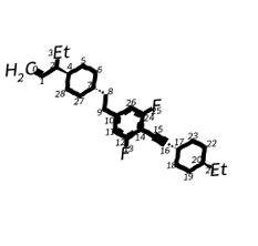 C=CC(CC)[C@H]1CC[C@H](CCc2cc(F)c(C#C[C@H]3CC[C@H](CC)CC3)c(F)c2)CC1